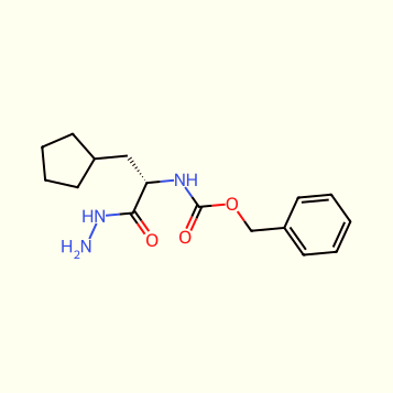 NNC(=O)[C@H](CC1CCCC1)NC(=O)OCc1ccccc1